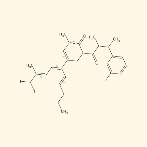 CC/C=C(CC(C(=O)O)C(=O)C(C)C(C)c1cccc(I)c1)/C(/C=C/CCC)=C/C=C(\C)C(I)I